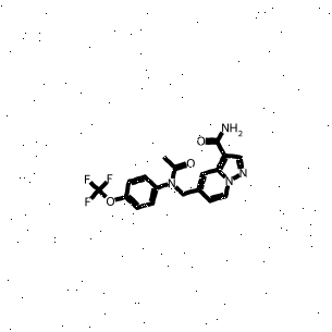 CC(=O)N(Cc1ccn2ncc(C(N)=O)c2c1)c1ccc(OC(F)(F)F)cc1